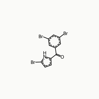 O=C(c1cc(Br)cc(Br)c1)c1ccc(Br)[nH]1